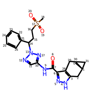 CC12Cc3[nH]nc(C(=O)Nc4cnn(C(CCS(C)(=O)=O)c5ccccc5)n4)c3CC1C2